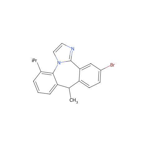 CC(C)c1cccc2c1-n1ccnc1-c1cc(Br)ccc1C2C